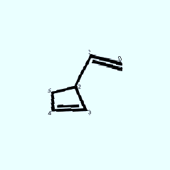 C=C[C]1C=CC1